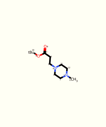 CN1CCN(CCC(=O)OC(C)(C)C)CC1